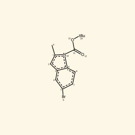 Cc1cc2cc(Br)ccc2n1C(=O)OC(C)(C)C